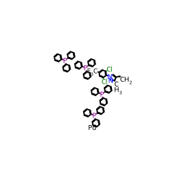 C=Cc1cn(-c2c(Cl)cc(C(F)(F)F)cc2Cl)nc1C.[Pd].c1ccc(P(c2ccccc2)c2ccccc2)cc1.c1ccc(P(c2ccccc2)c2ccccc2)cc1.c1ccc(P(c2ccccc2)c2ccccc2)cc1.c1ccc(P(c2ccccc2)c2ccccc2)cc1